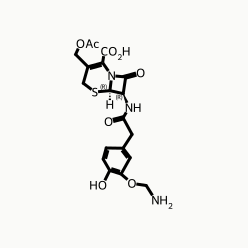 CC(=O)OCC1=C(C(=O)O)N2C(=O)[C@@H](NC(=O)Cc3ccc(O)c(OCN)c3)[C@H]2SC1